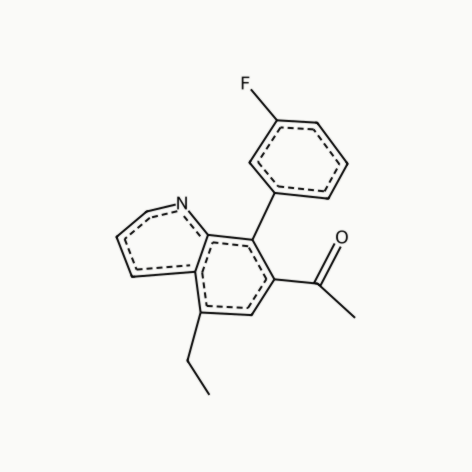 CCc1cc(C(C)=O)c(-c2cccc(F)c2)c2ncccc12